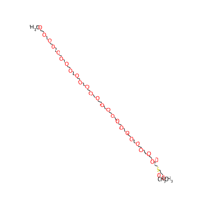 COCCOCCOCCOCCOCCOCCOCCOCCOCCOCCOCCOCCOCCOCCOCCOCCOCCOCCOCCOCCOCCOCCOCCOC(=O)CCSCC(COC)OC